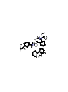 CO/N=C(/C(=O)OC)c1ccccc1CO/N=C(\C)c1cccc(C(F)(F)F)c1.c1cncc(C2CCCCN2)c1